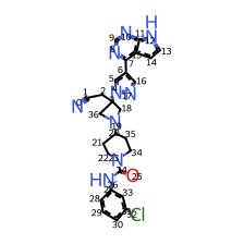 N#CCC1(n2cc(-c3ncnc4[nH]ccc34)cn2)CN(C2CCN(C(=O)Nc3cccc(Cl)c3)CC2)C1